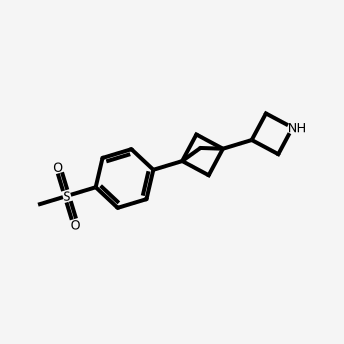 CS(=O)(=O)c1ccc(C23CC(C4CNC4)(C2)C3)cc1